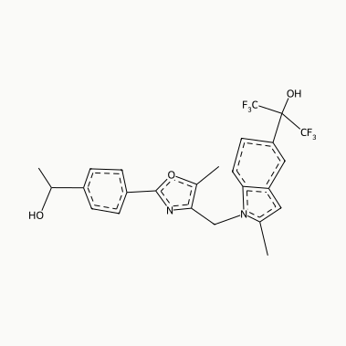 Cc1oc(-c2ccc(C(C)O)cc2)nc1Cn1c(C)cc2cc(C(O)(C(F)(F)F)C(F)(F)F)ccc21